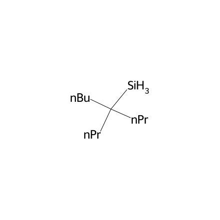 CCCCC([SiH3])(CCC)CCC